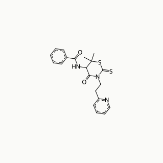 CC1(C)SC(=S)N(CCc2ccccn2)C(=O)C1NC(=O)c1ccccc1